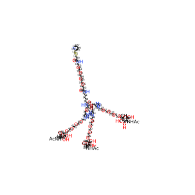 CC(=O)N[C@@H]1[C@@H](O)[C@@H](O)[C@@](C)(COCCOCCOCCOCCn2cc(COCC(COCc3cn(CCOCCOCCOCCOC[C@@]45CO[C@@H](O4)[C@H](NC(C)=O)[C@@H](O)[C@H]5O)nn3)(COCc3cn(CCOCCOCCOCCOC[C@@]45CO[C@@H](O4)[C@H](NC(C)=O)[C@@H](O)[C@H]5O)nn3)NC(=O)CCCCCNC(=O)CCOCCOCCOCCOCCNC(=O)CCSSc3ccccn3)nn2)O[C@@H]1O